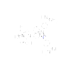 CC(=O)NCC(=O)O.Cl.N=C(N)c1ccc(/N=N/Nc2ccc(C(=N)N)cc2)cc1.Nc1c2c(nc3ccccc13)CCCC2